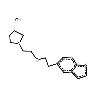 O[C@H]1CCN(CCOCCc2ccc3sccc3c2)C1